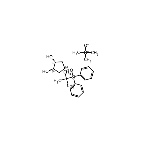 CC(C)(C)[Si](O[C@@H]1C[C@@H](O)[C@@H](O)C1)(c1ccccc1)c1ccccc1.C[N+](C)(C)[O-]